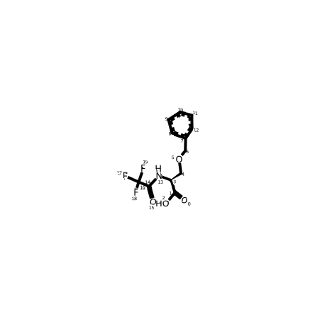 O=C(O)[C@H](COCc1ccccc1)NC(=O)C(F)(F)F